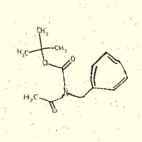 CC(=O)N(Cc1ccccc1)C(=O)OC(C)(C)C